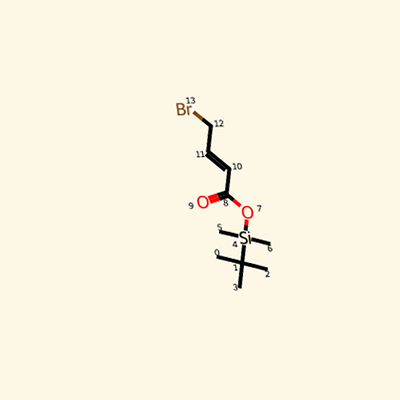 CC(C)(C)[Si](C)(C)OC(=O)C=CCBr